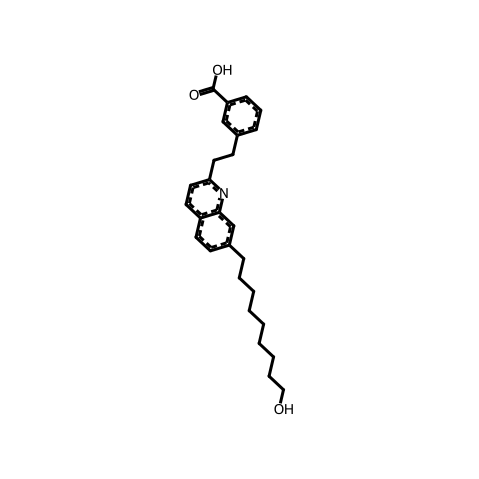 O=C(O)c1cccc(CCc2ccc3ccc(CCCCCCCCCO)cc3n2)c1